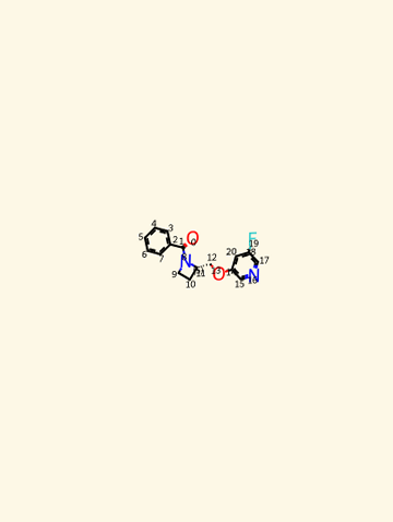 O=C(c1ccccc1)N1CC[C@H]1COc1cncc(F)c1